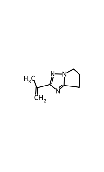 C=C(C)c1nc2n(n1)CCC2